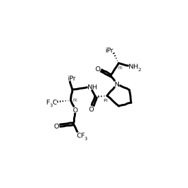 CC(C)C(NC(=O)[C@H]1CCCN1C(=O)[C@@H](N)C(C)C)[C@H](OC(=O)C(F)(F)F)C(F)(F)F